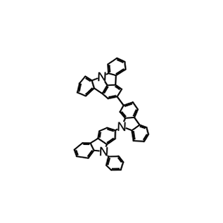 c1ccc(-n2c3ccccc3c3ccc(-n4c5ccccc5c5ccc(-c6cc7c8ccccc8n8c9ccccc9c(c6)c78)cc54)cc32)cc1